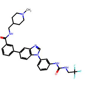 CN1CCC(CNC(=O)c2cccc(-c3ccc4c(c3)ncn4-c3cccc(NC(=O)NCC(F)(F)F)c3)c2)CC1